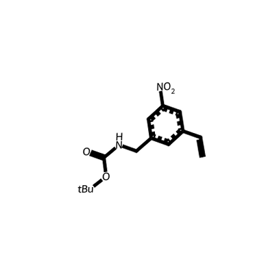 C=Cc1cc(CNC(=O)OC(C)(C)C)cc([N+](=O)[O-])c1